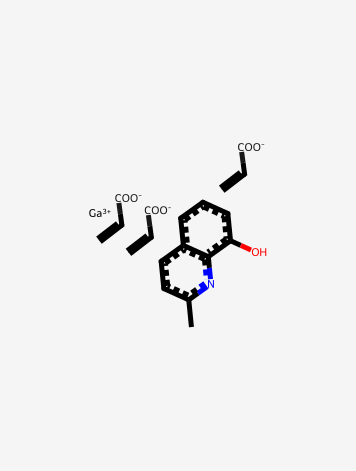 C=CC(=O)[O-].C=CC(=O)[O-].C=CC(=O)[O-].Cc1ccc2cccc(O)c2n1.[Ga+3]